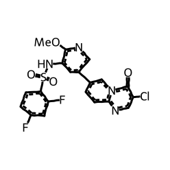 COc1ncc(-c2ccc3ncc(Cl)c(=O)n3c2)cc1NS(=O)(=O)c1ccc(F)cc1F